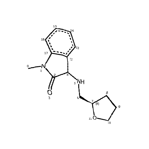 CN1C(=O)C(NC[C@H]2CCCO2)c2ccccc21